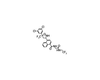 O=C(CNC(=O)c1ccc(C2CC(c3cc(Cl)cc(Cl)c3)(C(F)(F)F)ON2)c2ccccc12)NCC(F)(F)F